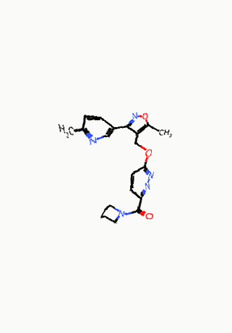 Cc1ccc(-c2noc(C)c2COc2ccc(C(=O)N3CCC3)nn2)cn1